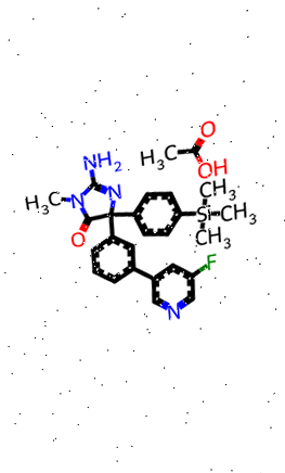 CC(=O)O.CN1C(=O)C(c2ccc([Si](C)(C)C)cc2)(c2cccc(-c3cncc(F)c3)c2)N=C1N